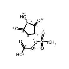 CS(=O)(=O)OOC(=O)O.O=C1CCC(=O)N1O